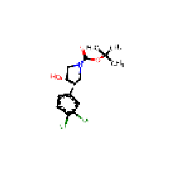 CC(C)(C)OC(=O)N1C[C@@H](O)[C@H](c2ccc(Cl)c(Cl)c2)C1